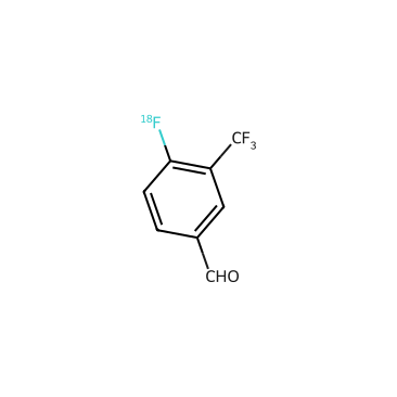 O=Cc1ccc([18F])c(C(F)(F)F)c1